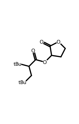 CC(C)(C)CC(C(=O)OC1CCOC1=O)C(C)(C)C